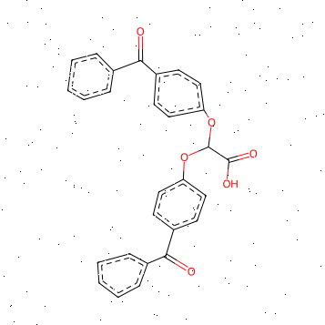 O=C(c1ccccc1)c1ccc(OC(Oc2ccc(C(=O)c3ccccc3)cc2)C(=O)O)cc1